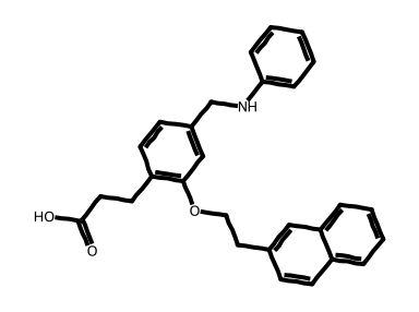 O=C(O)CCc1ccc(CNc2ccccc2)cc1OCCc1ccc2ccccc2c1